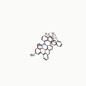 CC(C)(C)c1cc(-c2cccc3cccc(-c4ccccc4N(c4ccccc4-c4cccc5sc6ccccc6c45)c4cccc5c4-c4ccccc4C5(C)C)c23)cc(C(C)(C)C)c1